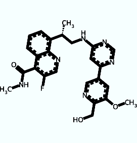 CNC(=O)c1c(F)cnc2c([C@H](C)CNc3cc(-c4cnc(CO)c(OC)c4)ncn3)cccc12